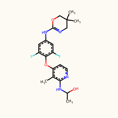 Cc1c(Oc2c(F)cc(NC3=NCC(C)(C)CO3)cc2F)ccnc1NC(C)O